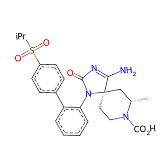 CC(C)S(=O)(=O)c1ccc(-c2ccccc2N2C(=O)N=C(N)[C@]23CCN(C(=O)O)[C@@H](C)C3)cc1